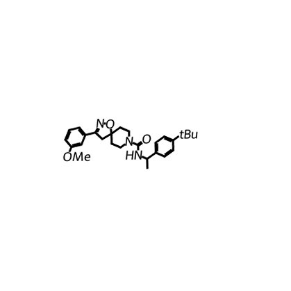 COc1cccc(C2=NOC3(CCN(C(=O)NC(C)c4ccc(C(C)(C)C)cc4)CC3)C2)c1